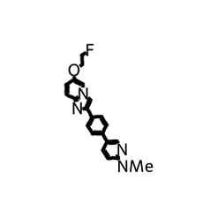 CNc1ccc(-c2ccc(-c3cn4cc(OCCF)ccc4n3)cc2)cn1